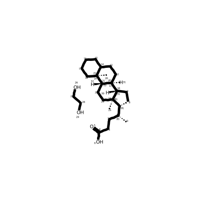 C[C@H](CCC(=O)O)[C@H]1CC[C@H]2[C@@H]3CCC4CCCC[C@]4(C)[C@H]3CC[C@]12C.OCCO